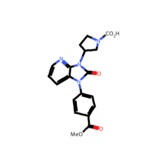 COC(=O)c1ccc(-n2c(=O)n(C3CCN(C(=O)O)C3)c3ncccc32)cc1